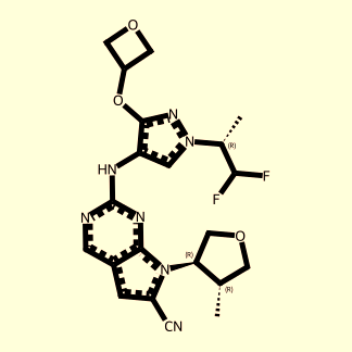 C[C@H](C(F)F)n1cc(Nc2ncc3cc(C#N)n([C@H]4COC[C@@H]4C)c3n2)c(OC2COC2)n1